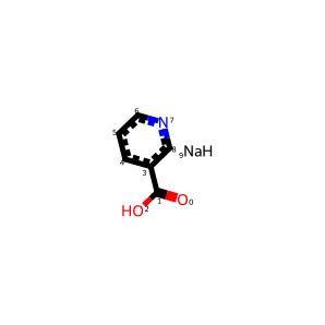 O=C(O)c1cccnc1.[NaH]